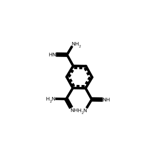 N=C(N)c1ccc(C(=N)N)c(C(=N)N)c1